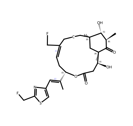 C/C(=C\c1csc(CF)n1)[C@@H]1C/C=C(/CF)CCC[C@@H]2C[C@@](C)(C(=O)[C@H](C)[C@H]2O)[C@@H](O)CC(=O)O1